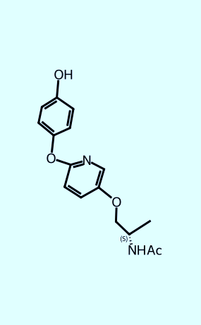 CC(=O)N[C@@H](C)COc1ccc(Oc2ccc(O)cc2)nc1